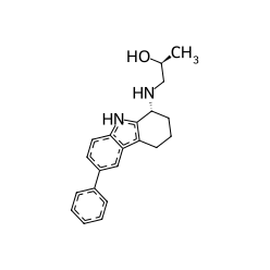 C[C@H](O)CN[C@@H]1CCCc2c1[nH]c1ccc(-c3ccccc3)cc21